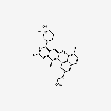 CCc1c(F)ccc2cc(OCOC)cc(-c3c(F)cc4c(N5CCC[C@@](C)(O)C5)nc(F)nc4c3F)c12